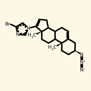 C[C@]12CC[C@H](N=[N+]=[N-])CC1=CCC1C2CC[C@]2(C)C(n3cnc(Br)c3)=CCC12